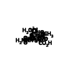 Cc1ccccc1CN1C[C@@H](SC2=C(C(=O)O)N3C(=O)[C@H]([C@@H](C)O)[C@H]3[C@H]2C)C[C@H]1CNS(N)(=O)=O